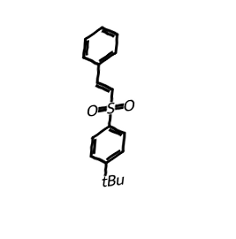 CC(C)(C)c1ccc(S(=O)(=O)/C=C/c2ccccc2)cc1